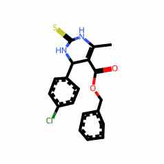 CC1=C(C(=O)OCc2ccccc2)C(c2ccc(Cl)cc2)NC(=S)N1